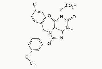 CN1C(=O)N(CC(=O)O)C(=O)C2C1N=C(Oc1cccc(OC(F)(F)F)c1)N2Cc1ccc(Cl)cc1